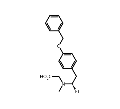 CC[C@H](Cc1ccc(OCc2ccccc2)cc1)N(C)CC(=O)O